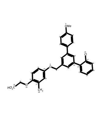 COc1ccc(-c2cc(COc3ccc(OCC(=O)O)c(C)c3)cc(-c3ccccc3Cl)c2)cc1